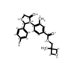 Cc1cc(C(=O)OCC2(C)COC2)ccc1N1C(=O)CSC1c1ccc(F)cc1